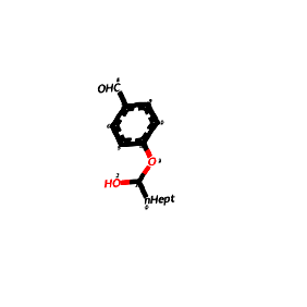 CCCCCCCC(O)Oc1ccc(C=O)cc1